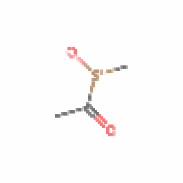 CC(=O)[S+](C)[O-]